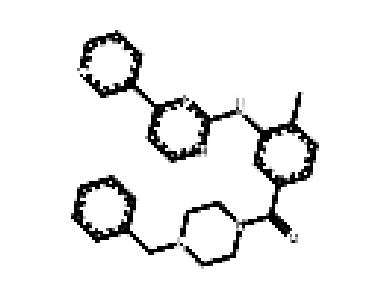 Cc1ccc(C(=O)N2CCN(Cc3ccccc3)CC2)cc1Nc1nccc(-c2cccnc2)n1